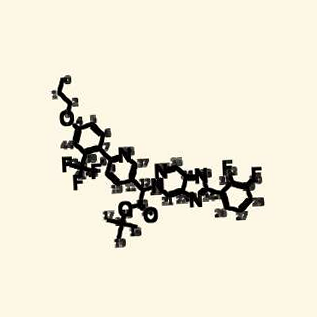 CCCOc1ccc(-c2ccc(C(C(=O)OC(C)(C)C)n3cc4nc(-c5cccc(F)c5F)nc-4cn3)cn2)c(C(F)(F)F)c1